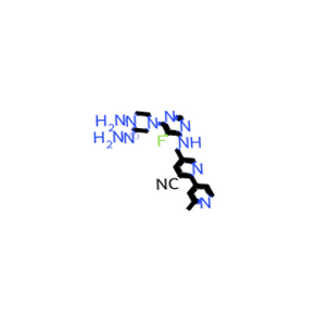 Cc1cc(-c2ncc(CNc3ncnc(N4CCN(N)/C(=N\N)C4)c3F)cc2C#N)ccn1